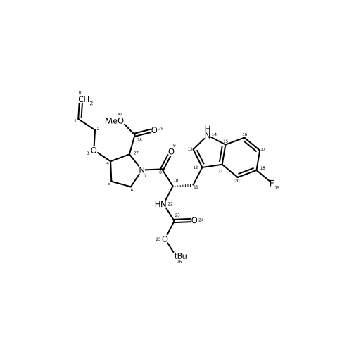 C=CCOC1CCN(C(=O)[C@H](Cc2c[nH]c3ccc(F)cc23)NC(=O)OC(C)(C)C)C1C(=O)OC